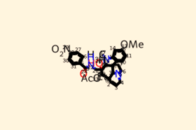 CC[C@]12C=CCN3CC[C@@]4(c5ccc(OC)cc5N(C)[C@H]4C(O)(CNC(=O)c4ccc([N+](=O)[O-])cc4)[C@@H]1OC(C)=O)C32